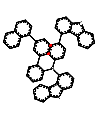 c1cc(-c2ccccc2N(c2ccc(-c3cccc4sc5ccccc5c34)cc2)c2cccc3sc4ccccc4c23)cc(-c2cccc3ccccc23)c1